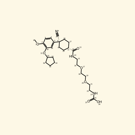 COc1ccc([C@]2(C#N)CC[C@@H](C(=O)NCCOCCOCCNC(=O)O)CC2)cc1OC1CCCC1